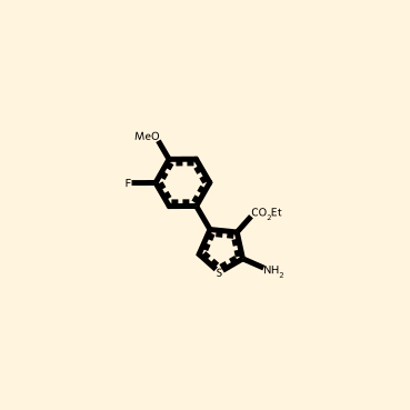 CCOC(=O)c1c(-c2ccc(OC)c(F)c2)csc1N